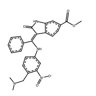 COC(=O)c1ccc2c(c1)NC(=O)C2=C(Nc1ccc(CN(C)C)c([N+](=O)[O-])c1)c1ccccc1